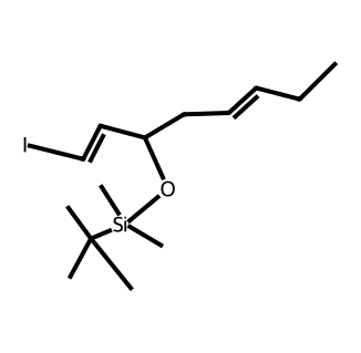 CCC=CCC(C=CI)O[Si](C)(C)C(C)(C)C